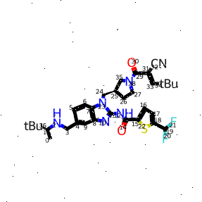 C[C@H](NCc1ccc2c(c1)nc(NC(=O)c1ccc(C(F)F)s1)n2C[C@@H]1CCN(C(=O)C(C#N)=CC(C)(C)C)C1)C(C)(C)C